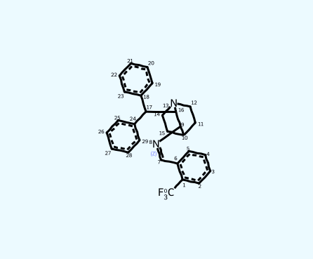 FC(F)(F)c1ccccc1/C=N\C1C2CCN(CC2)C1C(c1ccccc1)c1ccccc1